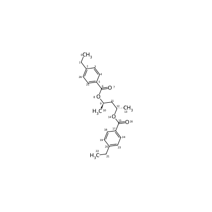 CCc1ccc(C(=O)O[C@H](C)C[C@H](C)OC(=O)c2ccc(CC)cc2)cc1